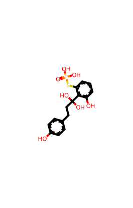 O=P(O)(O)Sc1cccc(O)c1C(O)(O)CCc1ccc(O)cc1